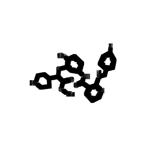 CC(C)(C)OC(=O)C(Oc1cc(NC(=O)c2cccnc2NCc2ccc(F)cc2)ccc1C(C)(C)C)C1CCNCC1